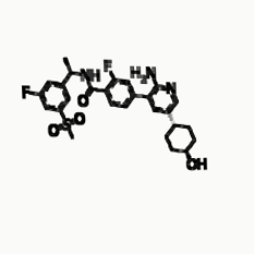 C[C@@H](NC(=O)c1ccc(-c2cc([C@H]3CC[C@H](O)CC3)cnc2N)cc1F)c1cc(F)cc(S(C)(=O)=O)c1